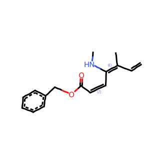 C=C/C(C)=C(\C=C/C(=O)OCc1ccccc1)NC